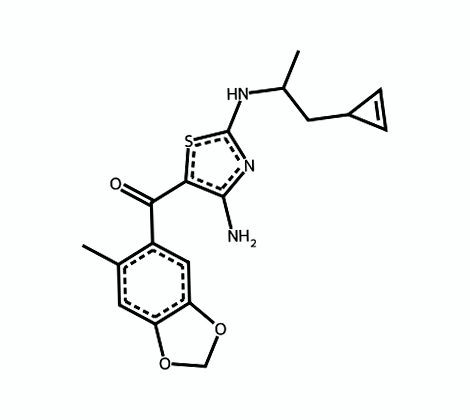 Cc1cc2c(cc1C(=O)c1sc(NC(C)CC3C=C3)nc1N)OCO2